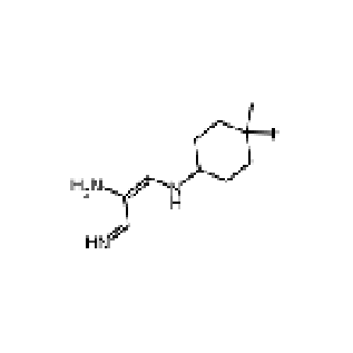 CC1(F)CCC(N/C=C(/N)C=N)CC1